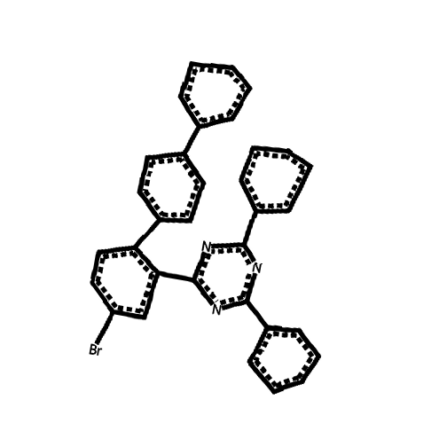 Brc1ccc(-c2ccc(-c3ccccc3)cc2)c(-c2nc(-c3ccccc3)nc(-c3ccccc3)n2)c1